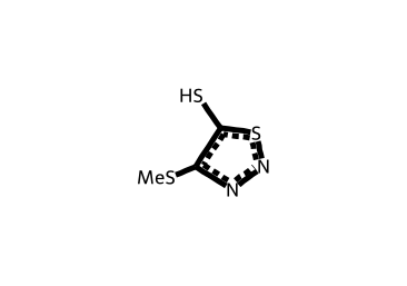 CSc1nnsc1S